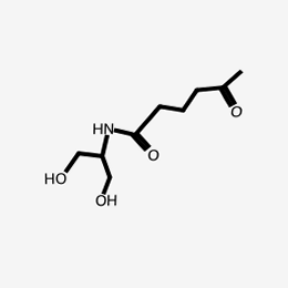 CC(=O)CCCC(=O)NC(CO)CO